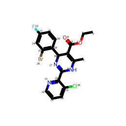 CCOC(=O)C1=C(C)NC(c2ncccc2Cl)=NC1c1ccc(F)cc1Br